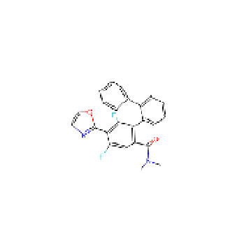 CN(C)C(=O)c1cc(F)c(-c2ncco2)c(F)c1-c1ccccc1-c1ccccc1